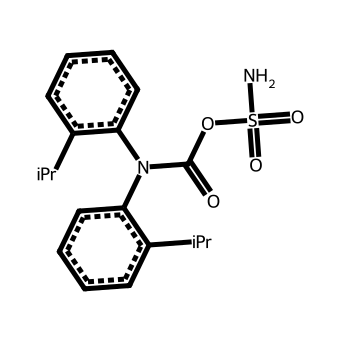 CC(C)c1ccccc1N(C(=O)OS(N)(=O)=O)c1ccccc1C(C)C